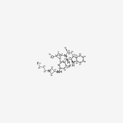 COC12CC3(C1)C2c1cc(NC2CN(CCCF)C2)cc(F)c1[C@H]1c2[nH]c4ccccc4c2C[C@H](C)N13